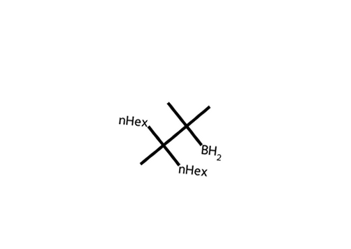 BC(C)(C)C(C)(CCCCCC)CCCCCC